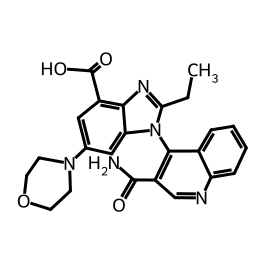 CCc1nc2c(C(=O)O)cc(N3CCOCC3)cc2n1-c1c(C(N)=O)cnc2ccccc12